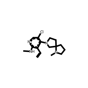 C=Cc1c(NC)ncc(Cl)c1N1CCC2(CCCN2C)C1